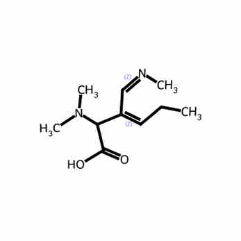 CC/C=C(\C=N/C)C(C(=O)O)N(C)C